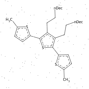 CCCCCCCCCCCCc1c(-c2ccc(C)s2)sc(-c2ccc(C)s2)c1CCCCCCCCCCCC